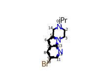 CC(C)N1CCn2c(cc3cc(Br)cnc32)C1